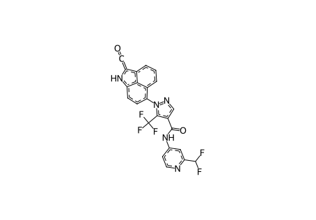 O=C=c1[nH]c2ccc(-n3ncc(C(=O)Nc4ccnc(C(F)F)c4)c3C(F)(F)F)c3cccc1c23